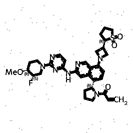 C=CC(=O)N1CCC[C@@H]1c1ccc(N2CC([C@H]3CCCS3(=O)=O)C2)c2cnc(Nc3ccnc(N4CC[C@@H](OC)[C@@H](F)C4)n3)cc12